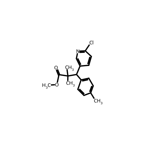 COC(=O)C(C)(C)C(c1ccc(C)cc1)c1ccc(Cl)nc1